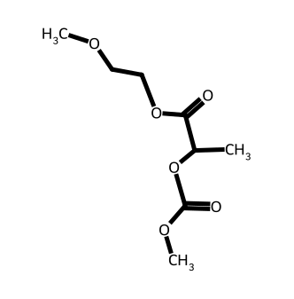 COCCOC(=O)C(C)OC(=O)OC